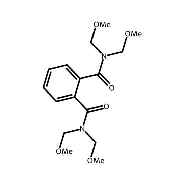 COCN(COC)C(=O)c1ccccc1C(=O)N(COC)COC